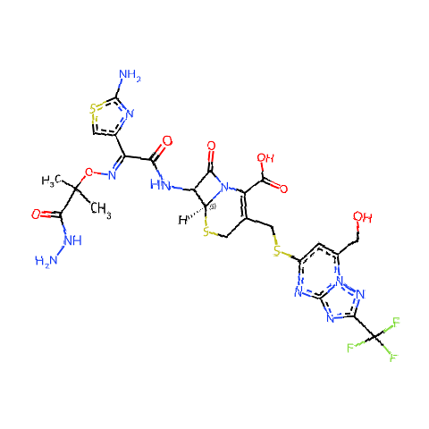 CC(C)(ON=C(C(=O)NC1C(=O)N2C(C(=O)O)=C(CSc3cc(CO)n4nc(C(F)(F)F)nc4n3)CS[C@@H]12)c1csc(N)n1)C(=O)NN